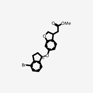 COC(=O)CC1COc2cc(O[C@@H]3CCc4c(Br)cccc43)ccc21